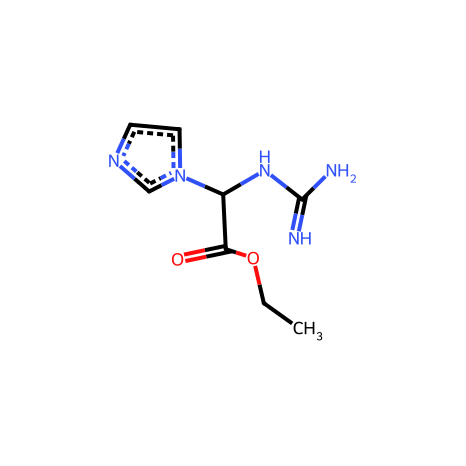 CCOC(=O)C(NC(=N)N)n1ccnc1